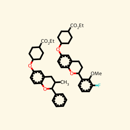 CCOC(=O)C1CCC(Oc2ccc3c(c2)CC(C)C(c2ccccc2)O3)CC1.CCOC(=O)C1CCC(Oc2ccc3c(c2)CCC(c2cccc(F)c2OC)O3)CC1